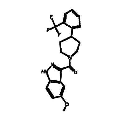 COc1ccc2[nH]nc(C(=O)N3CCC(c4ccccc4C(F)(F)F)CC3)c2c1